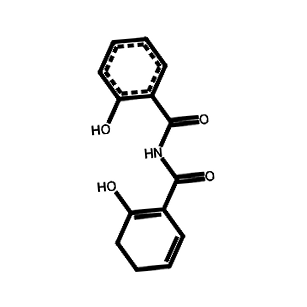 O=C(NC(=O)c1ccccc1O)C1=C(O)CCC=C1